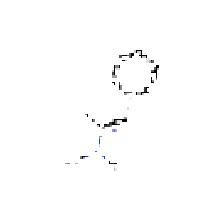 CCN(CC)/C(C)=C/c1ccccc1